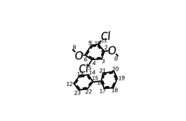 COc1cc(Cl)c(OC)cc1Cl.c1ccc(-c2ccccc2)cc1